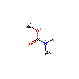 CCCCOC(=O)N(C)C(=O)O